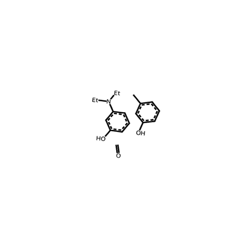 C=O.CCN(CC)c1cccc(O)c1.Cc1cccc(O)c1